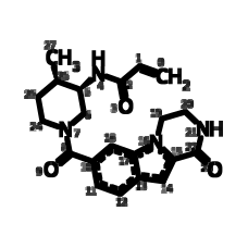 C=CC(=O)N[C@H]1CN(C(=O)c2ccc3cc4n(c3c2)CCNC4=O)CC[C@H]1C